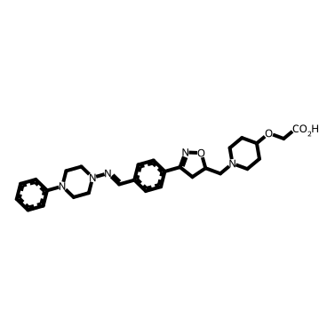 O=C(O)COC1CCN(CC2CC(c3ccc(C=NN4CCN(c5ccccc5)CC4)cc3)=NO2)CC1